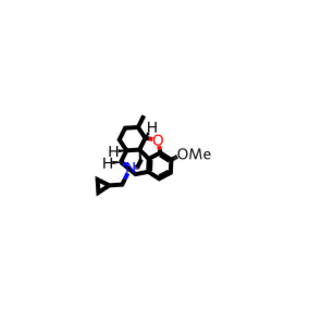 COc1ccc2c3c1O[C@H]1C(C)CC[C@H]4[C@@H](C2)N(CC2CC2)CC[C@]314